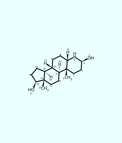 C[C@]12CC[C@H](O)N[C@H]1CC[C@@H]1[C@@H]2CC[C@]2(C)[C@@H](O)CC[C@@H]12